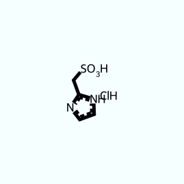 Cl.O=S(=O)(O)Cc1ncc[nH]1